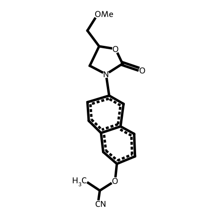 COCC1CN(c2ccc3cc(OC(C)C#N)ccc3c2)C(=O)O1